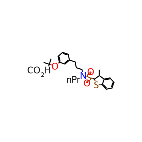 CCCN(CCCc1cccc(OC(C)(C)C(=O)O)c1)S(=O)(=O)C1Sc2ccccc2C1C